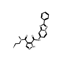 CN(CCF)C(=O)c1cn[nH]c1C(=O)Nc1ccn2nc(-c3ccccc3)nc2c1